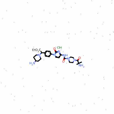 CCOC(=O)C(c1ccc(-n2ccc(NC(=O)N3CCN(C(=O)C(C)(C)N)CC3)nc2=O)cc1)N1CCC(N)CC1.Cl